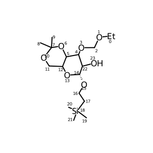 CCOCOC1C2OC(C)(C)OCC2O[C@@H](OCC[Si](C)(C)C)C1O